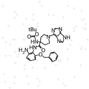 CC(C)(C)OC(=O)NC1(C(=O)Nc2c(N)cccc2OCc2ccccc2)CCN(c2ncnc3[nH]cnc23)CC1